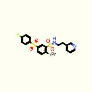 CCCc1ccc(S(=O)(=O)c2ccc(F)cc2)cc1S(=O)(=O)NCCc1cccnc1